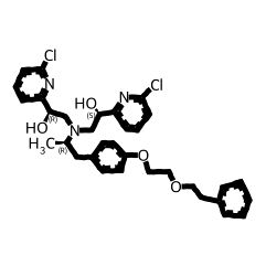 C[C@H](Cc1ccc(OCCOCCc2ccccc2)cc1)N(C[C@@H](O)c1cccc(Cl)n1)C[C@H](O)c1cccc(Cl)n1